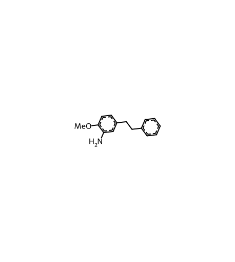 COc1ccc(CCc2ccccc2)cc1N